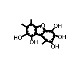 Cc1c(O)c(O)c2c(oc3c(O)c(O)c(O)c(C)c32)c1C